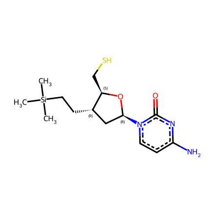 C[Si](C)(C)CC[C@H]1C[C@H](n2ccc(N)nc2=O)O[C@@H]1CS